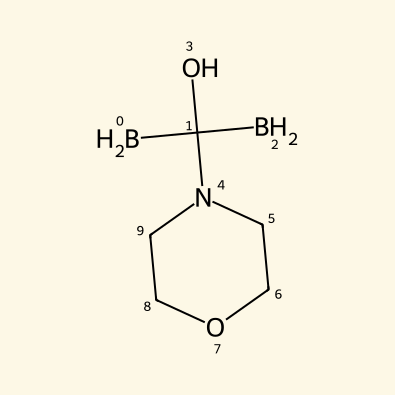 BC(B)(O)N1CCOCC1